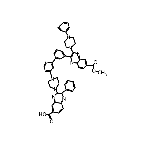 COC(=O)c1ccc2nc(-c3cccc(-c4cccc(N5CCN(c6nc7cc(C(=O)O)ccc7nc6-c6ccccc6)CC5)c4)c3)c(N3CCN(c4ccccc4)CC3)nc2c1